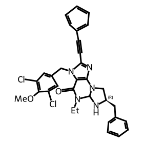 CCN1C(=O)c2c(nc(C#Cc3ccccc3)n2Cc2cc(Cl)c(OC)c(Cl)c2)N2C[C@@H](Cc3ccccc3)NC12